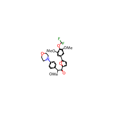 COc1cc(-c2ccc(C(=O)C(OC)c3ccc(N4CCOCC4)cc3)o2)cc(OC)c1OC(F)F